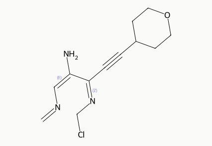 C=N/C=C(N)\C(C#CC1CCOCC1)=N/CCl